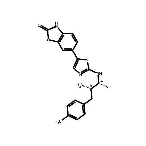 C[C@@H](Nc1ncc(-c2ccc3[nH]c(=O)oc3c2)s1)[C@@H](N)Cc1ccc(C(F)(F)F)cc1